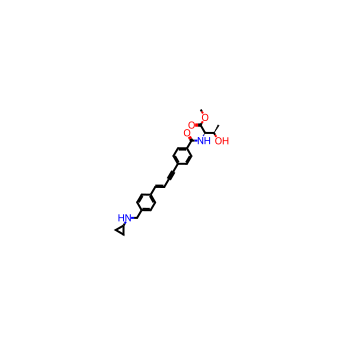 COC(=O)[C@@H](NC(=O)c1ccc(C#CC=Cc2ccc(CNC3CC3)cc2)cc1)[C@@H](C)O